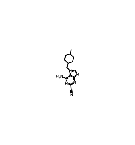 CC1CCC(Cn2cnc3nc(C#N)nc(N)c32)CC1